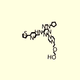 OCCOCCN1CCN(c2nc(NCc3ccc(-c4cccs4)nc3)c3ncn(C4CCCC4)c3n2)CC1